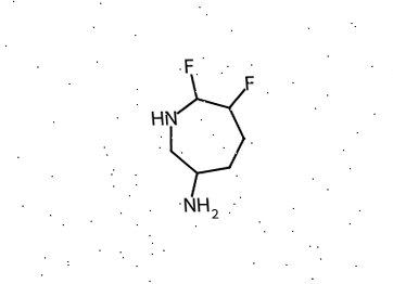 NC1CCC(F)C(F)NC1